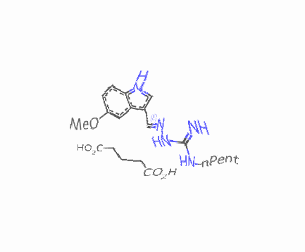 CCCCCNC(=N)N/N=C/c1c[nH]c2ccc(OC)cc12.O=C(O)CCCC(=O)O